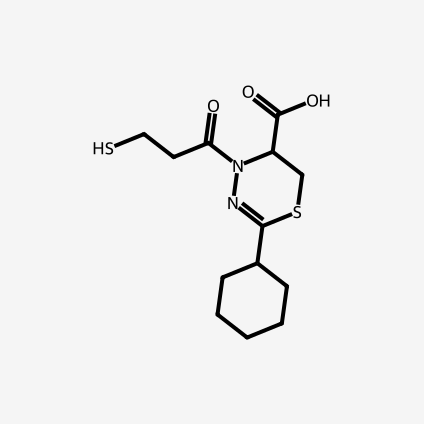 O=C(O)C1CSC(C2CCCCC2)=NN1C(=O)CCS